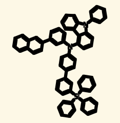 c1ccc(-n2c3ccccc3c3c(N(c4ccc(-c5cccc([Si](c6ccccc6)(c6ccccc6)c6ccccc6)c5)cc4)c4cccc(-c5ccc6ccccc6c5)c4)cccc32)cc1